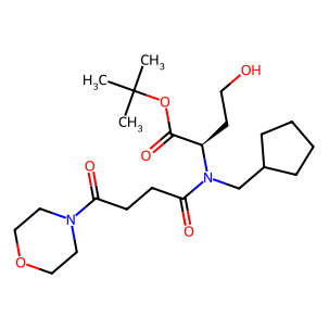 CC(C)(C)OC(=O)[C@@H](CCO)N(CC1CCCC1)C(=O)CCC(=O)N1CCOCC1